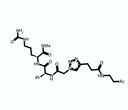 CNC(=O)[C@H](CCCNC(N)=O)NC(=O)[C@@H](NC(=O)Cn1cc(CCC(=O)NCCC(C)=O)nn1)C(C)C